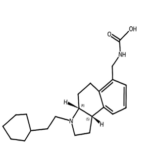 O=C(O)NCc1cccc2c1CC[C@@H]1[C@H]2CCN1CCC1CCCCC1